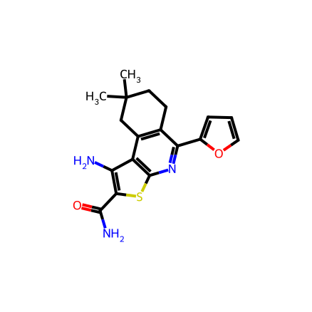 CC1(C)CCc2c(-c3ccco3)nc3sc(C(N)=O)c(N)c3c2C1